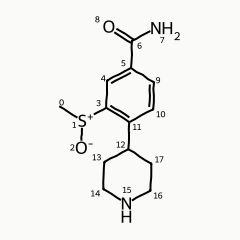 C[S+]([O-])c1cc(C(N)=O)ccc1C1CCNCC1